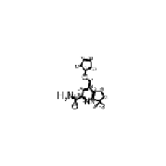 CC1(C)CCc2c(COC3CCCC3)cc(C(N)=O)nc21